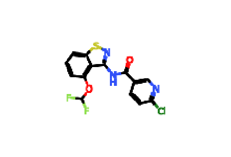 O=C(Nc1nsc2cccc(OC(F)F)c12)c1ccc(Cl)nc1